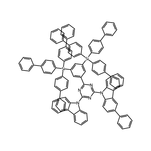 c1ccc(-c2ccc([Si](c3ccc(-c4ccccc4)cc3)(c3ccc(-c4ccccc4)cc3)c3cc(-c4nc(-n5c6ccccc6c6ccccc65)nc(-n5c6ccccc6c6cc(-c7ccccc7)ccc65)n4)cc([Si](c4ccc(-c5ccccc5)cc4)(c4ccc(-c5ccccc5)cc4)c4ccc(-c5ccccc5)cc4)c3)cc2)cc1